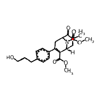 COC(=O)C1=C(c2ccc(CCCO)cc2)CC2C(=O)N(C)C[C@H]1N2C(=O)OC